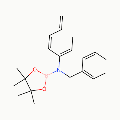 C=C/C=C\C(=C/C)N(CC(/C=C\C)=C/C)B1OC(C)(C)C(C)(C)O1